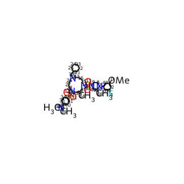 COc1cc(F)cc(N2CCN(S(=O)(=O)N3CCCN(CC4CCCCC4)CCCN(S(=O)(=O)c4ccc(N(C)C)cc4)C[C@H](C)C3)C[C@@H]2C)c1